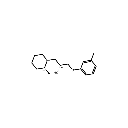 Cc1cccc(OC[C@H](O)CN2CCCC[C@@H]2C)c1